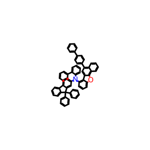 c1ccc(-c2ccc(-c3cc4c(oc5cccc(N(c6ccc7c(c6)C(c6ccccc6)(c6ccccc6)c6ccccc6-7)c6ccccc6-c6ccccc6)c54)c4ccccc34)cc2)cc1